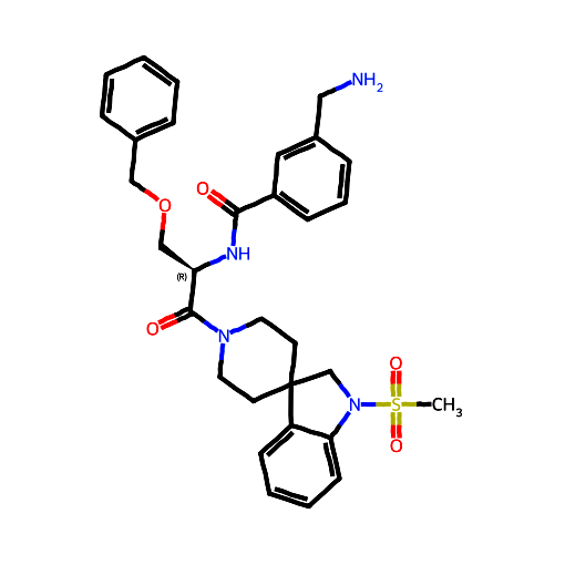 CS(=O)(=O)N1CC2(CCN(C(=O)[C@@H](COCc3ccccc3)NC(=O)c3cccc(CN)c3)CC2)c2ccccc21